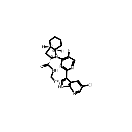 O=C(NCC(F)(F)F)[C@@H]1C[C@@H]2CCCC[C@@H]2N1c1nc(-c2c[nH]c3ncc(Cl)cc23)ncc1F